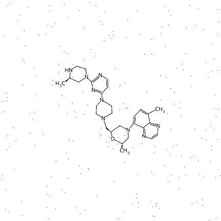 Cc1ccc(N2C[C@H](CN3CCN(c4ccnc(N5CCN[C@H](C)C5)n4)CC3)O[C@H](C)C2)c2nccnc12